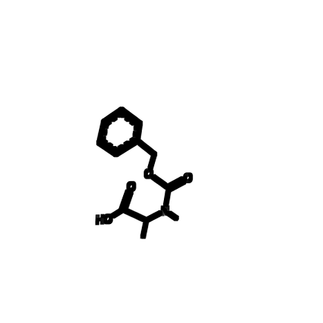 CC(C(=O)O)N(C)C(=O)OCc1ccccc1